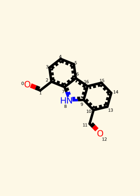 O=Cc1cccc2c1[nH]c1c(C=O)cccc12